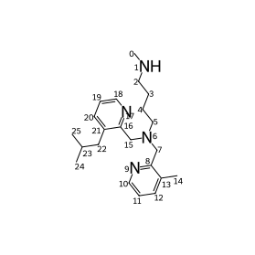 CNCCCCN(Cc1ncccc1C)Cc1ncccc1CC(C)C